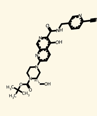 CC(C)(C)OC(=O)N1CCN(c2ccc3c(O)c(C(=O)NCc4ccc(C#N)nc4)ncc3n2)C[C@@H]1CO